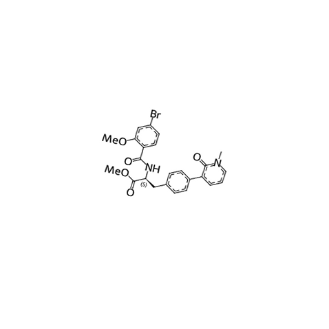 COC(=O)[C@H](Cc1ccc(-c2cccn(C)c2=O)cc1)NC(=O)c1ccc(Br)cc1OC